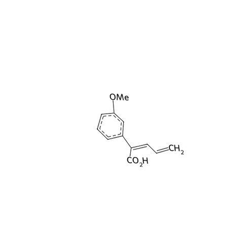 C=CC=C(C(=O)O)c1cccc(OC)c1